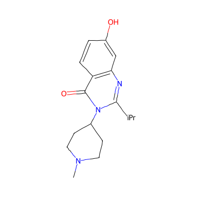 CC(C)c1nc2cc(O)ccc2c(=O)n1C1CCN(C)CC1